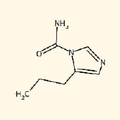 [CH2]CCc1cncn1C(N)=O